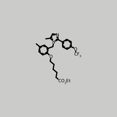 CCOC(=O)CCCCCOc1ccc(C)cc1Cn1c(C)cnc1-c1ccc(OC(F)(F)F)cc1